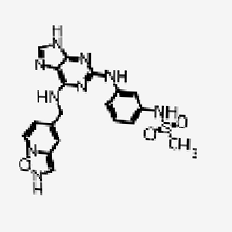 CS(=O)(=O)Nc1cccc(Nc2nc(NCC3=CC4=CNON4C=C3)c3nc[nH]c3n2)c1